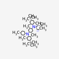 C/C=C\C(=C/CC)N(c1ccc(N(c2ccc(C)cc2)c2c(C)cc(C(C)(C)C)cc2C)cc1)c1c(C)cc(C(C)(C)C)cc1C